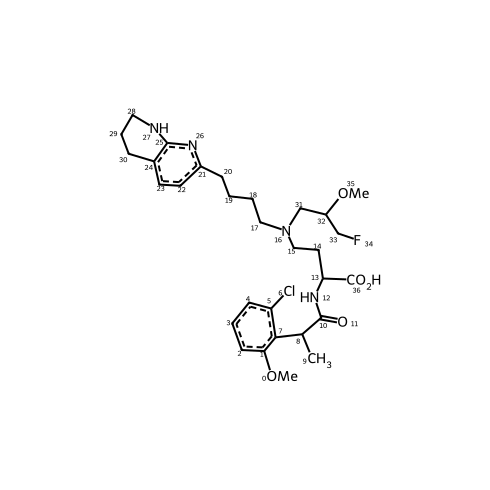 COc1cccc(Cl)c1C(C)C(=O)NC(CCN(CCCCc1ccc2c(n1)NCCC2)CC(CF)OC)C(=O)O